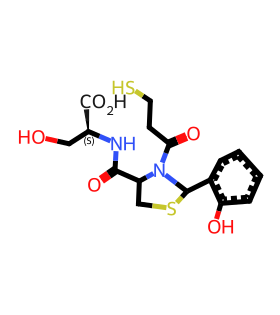 O=C(N[C@@H](CO)C(=O)O)C1CSC(c2ccccc2O)N1C(=O)CCS